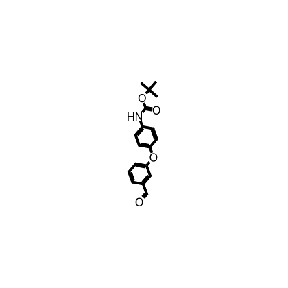 CC(C)(C)OC(=O)Nc1ccc(Oc2cccc(C=O)c2)cc1